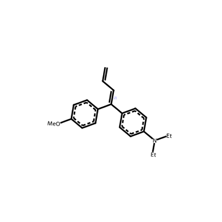 C=C/C=C(\c1ccc(OC)cc1)c1ccc(N(CC)CC)cc1